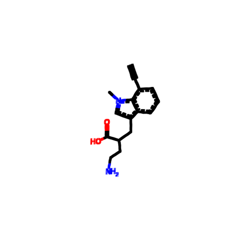 C#Cc1cccc2c(CC(CCN)C(=O)O)cn(C)c12